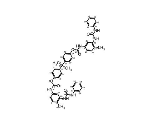 Cc1ccc(NC(=O)Oc2ccc(C(C)(C)c3ccc(OC(=O)Nc4ccc(C)c(NC(=O)Nc5ccccc5)c4)cc3)cc2)cc1NC(=O)Nc1ccccc1